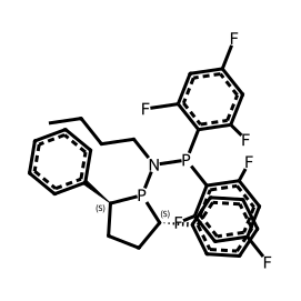 CCCCN(P(c1c(F)cc(F)cc1F)c1c(F)cc(F)cc1F)P1[C@H](c2ccccc2)CC[C@H]1c1ccccc1